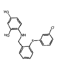 Oc1ccc(NCc2ccccc2Sc2cccc(Cl)c2)c(O)c1